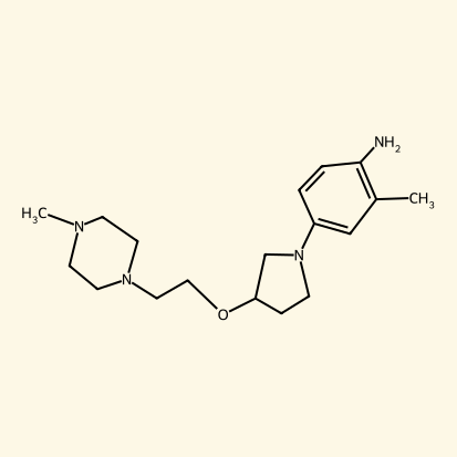 Cc1cc(N2CCC(OCCN3CCN(C)CC3)C2)ccc1N